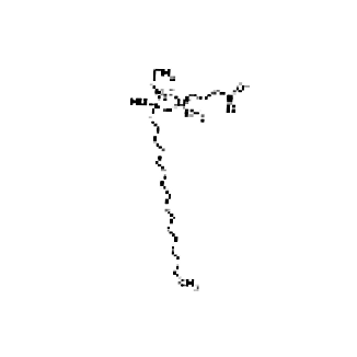 CCCCCCCCCCCCCCCCC(O)(CCC)C[N+](C)(C)CCCC(=O)[O-]